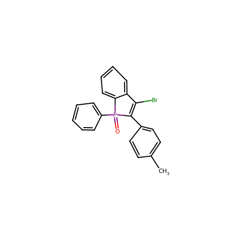 Cc1ccc(C2=C(Br)c3ccccc3P2(=O)c2ccccc2)cc1